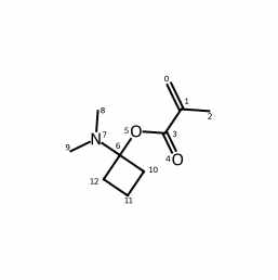 C=C(C)C(=O)OC1(N(C)C)CCC1